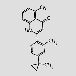 Cc1cc(C2(C)CC2)ccc1-c1cc(=O)c2c(C#N)cccc2[nH]1